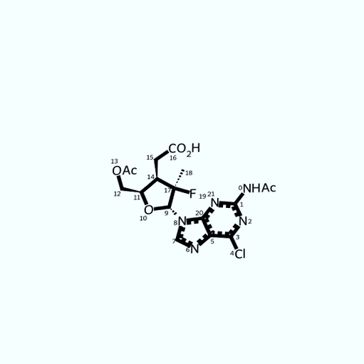 CC(=O)Nc1nc(Cl)c2ncn([C@@H]3O[C@@H](COC(C)=O)[C@@H](CC(=O)O)[C@@]3(C)F)c2n1